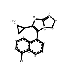 Br.Clc1cccc2c(C3=C(C4CC4)SC4=NCCN43)cccc12